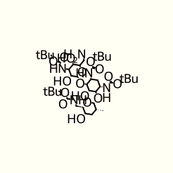 C[C@@H]1C[C@H](O)[C@@H](CNC(=O)OC(C)(C)C)O[C@@H]1OC1[C@@H](NC(=O)OC(C)(C)C)C[C@@H](NC(=O)OC(C)(C)C)[C@H](O[C@H]2OC(CN)[C@@H](O)C(NC(=O)OC(C)(C)C)[C@H]2O)[C@H]1O